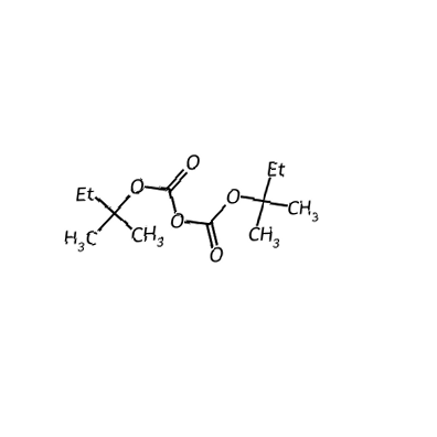 CCC(C)(C)OC(=O)OC(=O)OC(C)(C)CC